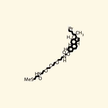 CSCCC(=O)NCCOCCOCCOCCCNC(=O)OC1CC[C@@]2(C)C(=CC[C@H]3[C@@H]4CC[C@H]([C@H](C)CCCC(C)C)[C@@]4(C)CC[C@@H]32)C1